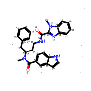 CN(C(=O)c1ccc2[nH]ccc2c1)[C@H](CCNC(=O)c1nc2ccccc2n1C)Cc1ccccc1